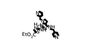 CCOC(=O)C1=CNC(C)(Nc2nc(NCCc3ccncc3)c3c(n2)N(Cc2cccnc2)CC3)S1